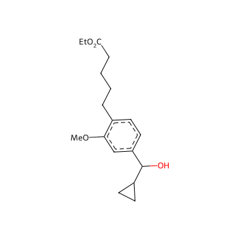 CCOC(=O)CCCCc1ccc(C(O)C2CC2)cc1OC